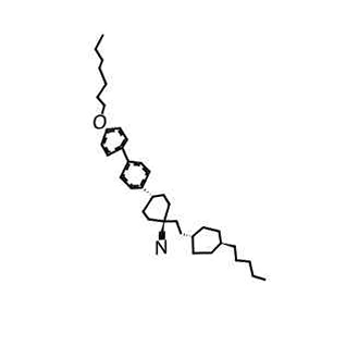 CCCCCCCOc1ccc(-c2ccc([C@H]3CC[C@@](C#N)(CC[C@H]4CC[C@H](CCCCC)CC4)CC3)cc2)cc1